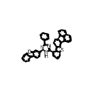 c1ccc(C2=NC(c3ccc4c(c3)oc3ccccc34)NC(c3cccc4sc5c6c(ccc5c34)-c3cccc4cccc-6c34)=N2)cc1